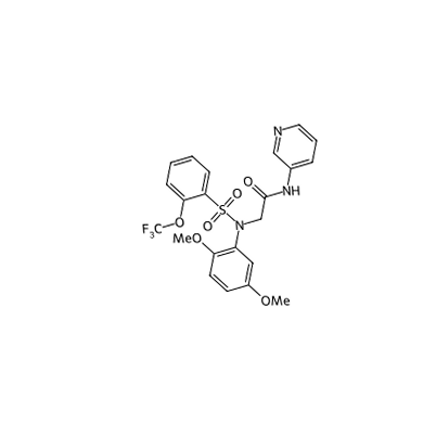 COc1ccc(OC)c(N(CC(=O)Nc2cccnc2)S(=O)(=O)c2ccccc2OC(F)(F)F)c1